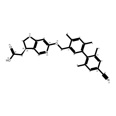 Cc1cc(C)c(-c2c(C)cc(C#N)cc2C)cc1COc1cc2c(cn1)[C@@H](CC(=O)O)CS2